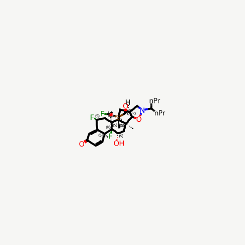 CCCC(CCC)N1C[C@@H]2C[C@@]3(C)[C@@H]4C[C@H](F)C5=CC(=O)C=C[C@]5(C)[C@@]4(F)[C@@H](O)C[C@]3(C)[C@]2(C(=O)SCF)O1